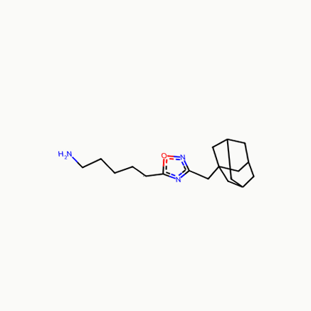 NCCCC[CH]c1nc(CC23CC4CC(CC(C4)C2)C3)no1